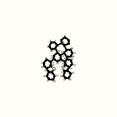 c1ccc2c(c1)-c1ccccc1-c1cc(-c3cccc4c3oc3ccccc34)cc(-c3cccc4c3sc3ccccc34)c1-c1ccccc1-2